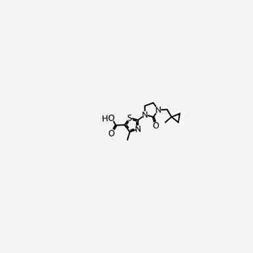 Cc1nc(N2CCN(CC3(C)CC3)C2=O)sc1C(=O)O